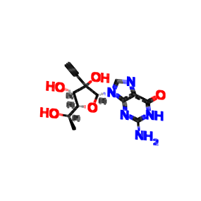 C#CC1(O)[C@@H](O)[C@@H]([C@@H](C)O)O[C@H]1n1cnc2c(=O)[nH]c(N)nc21